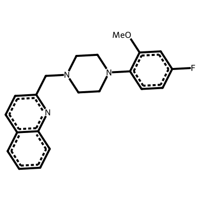 COc1cc(F)ccc1N1CCN(Cc2ccc3ccccc3n2)CC1